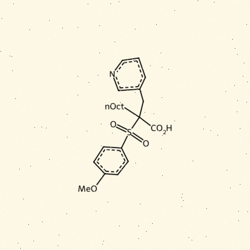 CCCCCCCCC(Cc1cccnc1)(C(=O)O)S(=O)(=O)c1ccc(OC)cc1